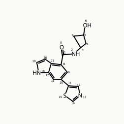 O=C(NC1CC(O)C1)c1cc(-c2cncs2)cc2[nH]ccc12